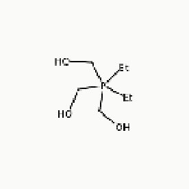 CCP(CC)(CO)(CO)CO